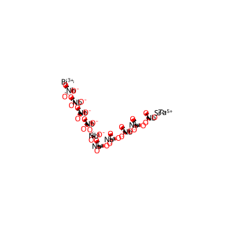 [Bi+3].[O]=[Nb](=[O])[O-].[O]=[Nb](=[O])[O-].[O]=[Nb](=[O])[O-].[O]=[Nb](=[O])[O-].[O]=[Nb](=[O])[O-].[O]=[Nb](=[O])[O-].[O]=[Nb](=[O])[O-].[O]=[Nb](=[O])[O-].[O]=[Nb](=[O])[O-].[O]=[Nb](=[O])[O-].[Sr+2].[Ta+5]